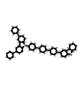 c1ccc(-c2ccc3c(c2)c2cc(-c4ccccc4)ccc2n3-c2ccc(-c3ccc(-c4ccc(-c5ccc6sc7ccccc7c6c5)cc4)cc3)cc2)cc1